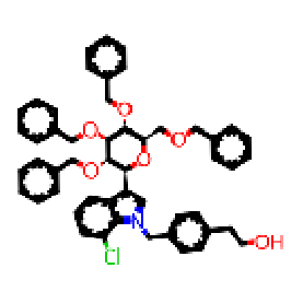 OCCc1ccc(Cn2cc([C@@H]3O[C@H](COCc4ccccc4)[C@@H](OCc4ccccc4)[C@H](OCc4ccccc4)[C@H]3OCc3ccccc3)c3cccc(Cl)c32)cc1